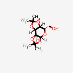 CC1(C)O[C@@H]2O[C@@H](CO)[C@H]3OC(C)(C)O[C@H]3[C@@H]2O1